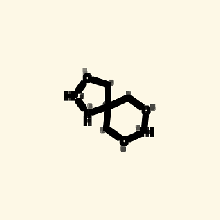 C1OPNC12COPOC2